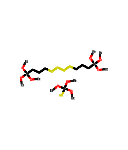 CCO[Si](CCCSSSSCCC[Si](OCC)(OCC)OCC)(OCC)OCC.CCO[Si](S)(OCC)OCC